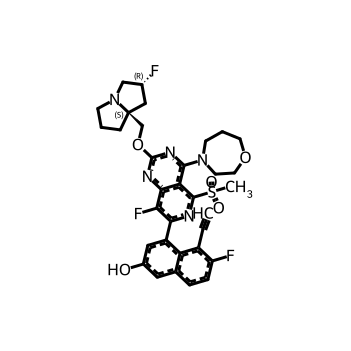 C#Cc1c(F)ccc2cc(O)cc(-c3nc(S(C)(=O)=O)c4c(N5CCCOCC5)nc(OC[C@@]56CCCN5C[C@H](F)C6)nc4c3F)c12